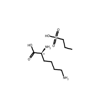 CCCS(=O)(=O)O.NCCCC[C@H](N)C(=O)O